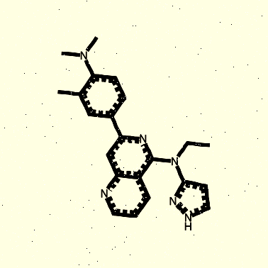 CCN(c1cc[nH]n1)c1nc(-c2ccc(N(C)C)c(C)c2)cc2ncccc12